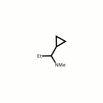 CCC(NC)C1CC1